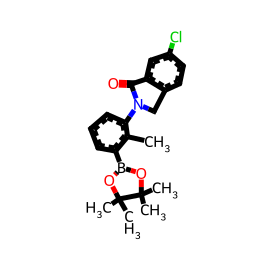 Cc1c(B2OC(C)(C)C(C)(C)O2)cccc1N1Cc2ccc(Cl)cc2C1=O